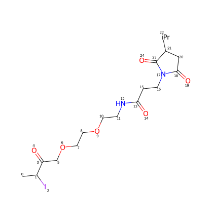 CC(I)C(=O)COCCOCCNC(=O)CCN1C(=O)CC(C(C)C)C1=O